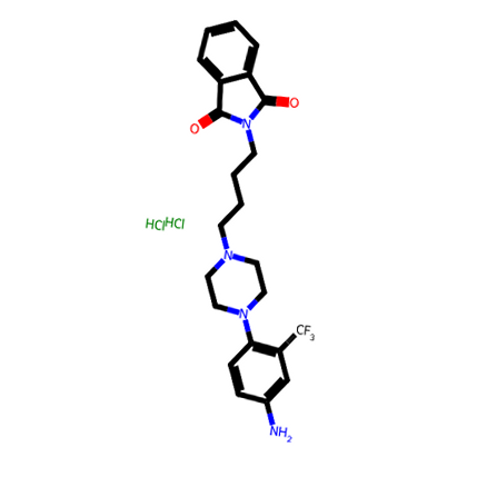 Cl.Cl.Nc1ccc(N2CCN(CCCCN3C(=O)c4ccccc4C3=O)CC2)c(C(F)(F)F)c1